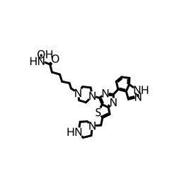 O=C(CCCCCN1CCN(c2nc(-c3cccc4[nH]ncc34)nc3cc(CN4CCNCC4)sc23)CC1)NO